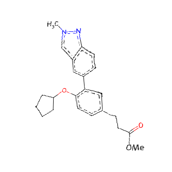 COC(=O)CCc1ccc(OC2CCCC2)c(-c2ccc3nn(C)cc3c2)c1